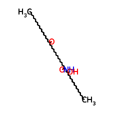 CCCCCCCCCCCCCCCCCCCC(=O)CCCCCCCCCCCCCCC(=O)NCC(O)CCCCCCCCCCCCCCCC